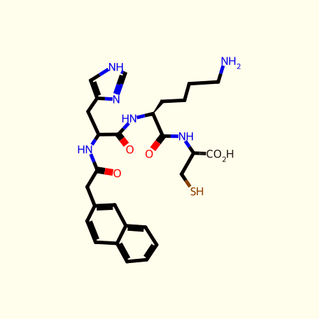 NCCCC[C@H](NC(=O)C(Cc1c[nH]cn1)NC(=O)Cc1ccc2ccccc2c1)C(=O)NC(CS)C(=O)O